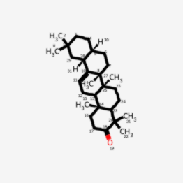 CC1(C)CC[C@@H]2CC[C@@]3(C)C(=CCC4[C@@]5(C)CCC(=O)C(C)(C)C5CC[C@]43C)[C@@H]2C1